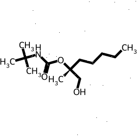 CCCCC[C@](C)(CO)OC(=O)NC(C)(C)C